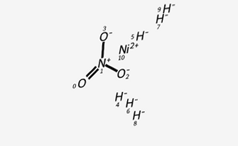 O=[N+]([O-])[O-].[H-].[H-].[H-].[H-].[H-].[H-].[Ni+2]